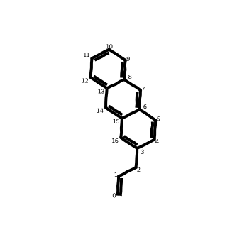 [CH]=CCc1ccc2cc3ccccc3cc2c1